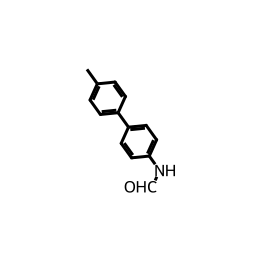 Cc1ccc(-c2ccc(NC=O)cc2)cc1